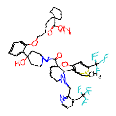 CCC[C@H]1N(Cc2ncccc2C(F)(F)F)CCC[C@@]1(Oc1csc(C(F)(F)F)c1)C(=O)N1CCC(O)(c2ccccc2OCCCC2(C(=O)O)CCCC2)CC1